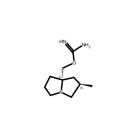 C[C@H]1CN2CCC[C@@]2(COC(=N)N)C1